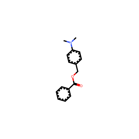 CN(C)c1ccc(COC(=O)c2ccccc2)cc1